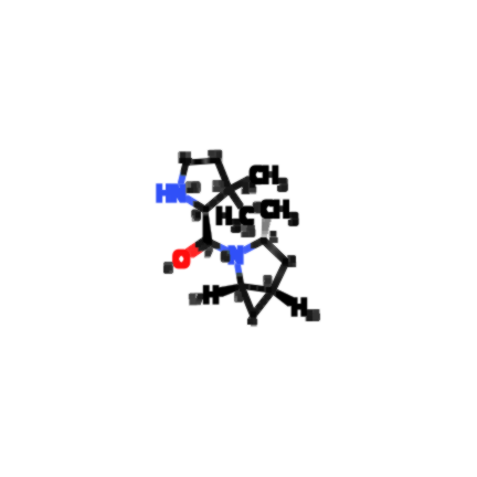 C[C@@H]1C[C@@H]2C[C@@H]2N1C(=O)[C@H]1NCCC1(C)C